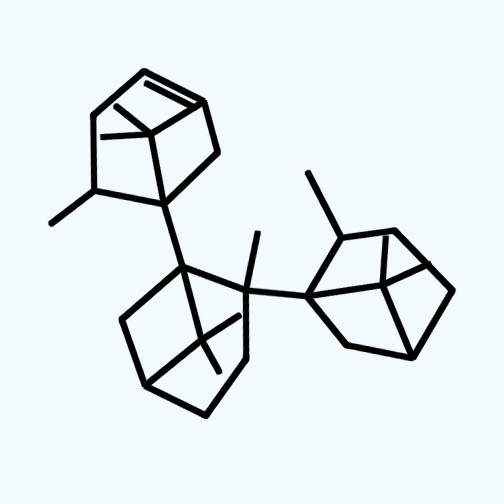 CC1CCC2CC1(C1(C)CCC3CC1(C14CC(=CCC1C)C4(C)C)C3(C)C)C2(C)C